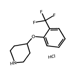 Cl.FC(F)(F)c1ccccc1OC1CCNCC1